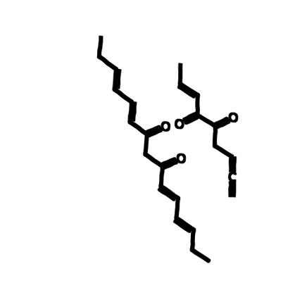 C=C=CCC(=O)C(=O)C=CC.CCC=CC=CC(=O)CC(=O)C=CC=CCC